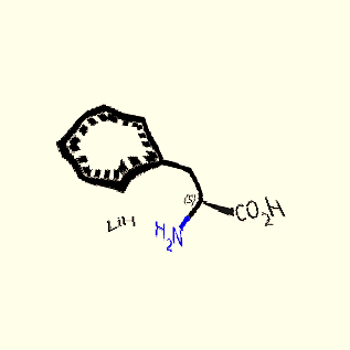 N[C@@H](Cc1ccccc1)C(=O)O.[LiH]